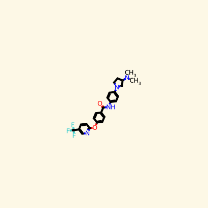 CN(C)C1CCN(c2ccc(NC(=O)c3ccc(Oc4ccc(C(F)(F)F)cn4)cc3)cc2)C1